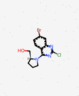 OC[C@@H]1CCCN1c1nc(Cl)nc2cc(Br)ccc12